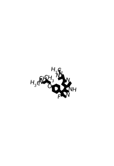 CC(COc1ccc(-c2c(F)cnc3[nH]c4cnc(-c5cnn(C)c5)cc4c23)cc1)CN(C)C